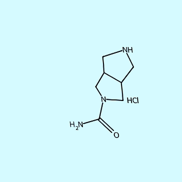 Cl.NC(=O)N1CC2CNCC2C1